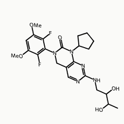 COc1cc(OC)c(F)c(N2Cc3cnc(NCC(O)C(C)O)nc3N(C3CCCC3)C2=O)c1F